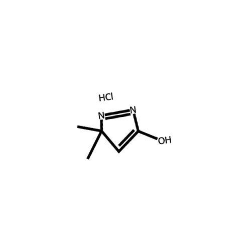 CC1(C)C=C(O)N=N1.Cl